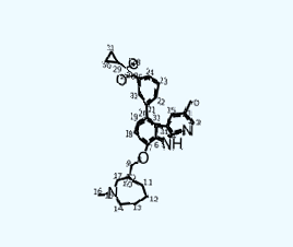 Cc1cnc2[nH]c3c(OC[C@H]4CCCCN(C)C4)ccc(-c4cccc(S(=O)(=O)C5CC5)c4)c3c2c1